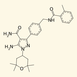 Cc1ccccc1C(=O)NCc1ccc(-c2nn(C3CC(C)(C)OC(C)(C)C3)c(N)c2C(N)=O)cc1